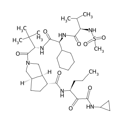 CCC[C@H](NC(=O)[C@@H]1CC[C@H]2CN(C(=O)[C@@H](NC(=O)[C@@H](NC(=O)[C@H](NS(C)(=O)=O)C(C)C)C3CCCCC3)C(C)(C)C)C[C@H]21)C(=O)C(=O)NC1CC1